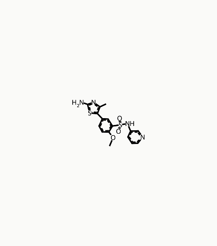 COc1ccc(-c2sc(N)nc2C)cc1S(=O)(=O)Nc1cccnc1